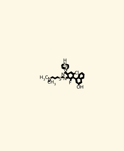 CN(C)CCCSc1nc(N2CC3CCCC2CN3)c2cc(Cl)c(-c3cc(O)cc4ccccc34)c(F)c2n1